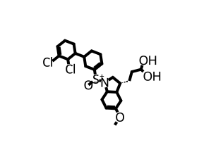 COC1=CCC2C(C1)[C@@H](CCC(O)O)CN2[S+]([O-])C1=CCCC(C2CCC=C(Cl)C2Cl)C1